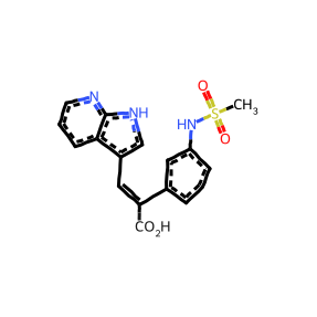 CS(=O)(=O)Nc1cccc(C(=Cc2c[nH]c3ncccc23)C(=O)O)c1